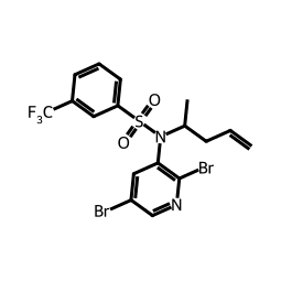 C=CCC(C)N(c1cc(Br)cnc1Br)S(=O)(=O)c1cccc(C(F)(F)F)c1